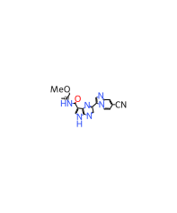 COC[C@H](C)NC(=O)c1c[nH]c2ncc(-c3cnc4cc(C#N)ccn34)nc12